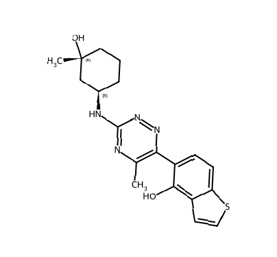 Cc1nc(N[C@@H]2CCC[C@@](C)(O)C2)nnc1-c1ccc2sccc2c1O